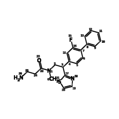 CN(CC(c1ccc(-c2ccccc2)c(F)c1)c1nccs1)C(=O)CCN